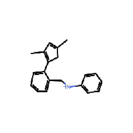 CC1=CC(C)=C(c2ccccc2CNc2ccccc2)C1